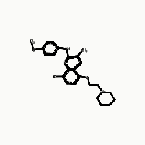 Cc1cc2c(OCCN3CCCCC3)ccc(Cl)c2nc1Nc1ccc(OC(F)(F)F)cc1